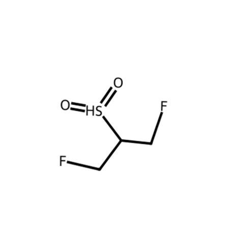 O=[SH](=O)C(CF)CF